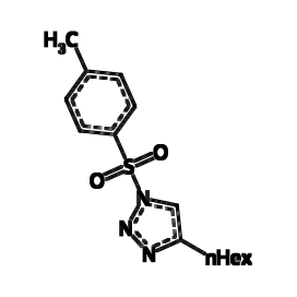 CCCCCCc1cn(S(=O)(=O)c2ccc(C)cc2)nn1